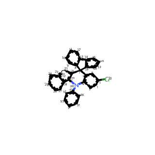 Clc1ccc2c(c1)C1(c3ccccc3-c3ccccc31)c1ccc3ccccc3c1N2c1ccccc1